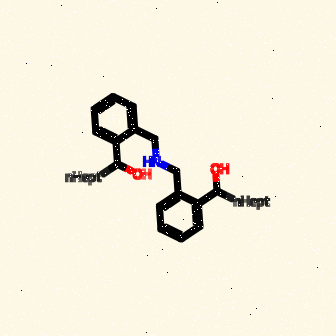 CCCCCCCC(O)c1ccccc1CNCc1ccccc1C(O)CCCCCCC